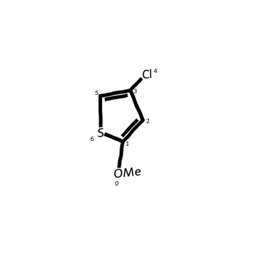 COc1cc(Cl)cs1